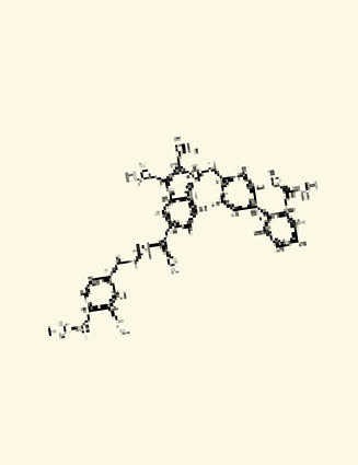 COc1ccc(CCNC(=O)c2ccc3c(c2)c(C)c(C)n3Cc2ccc(-c3ccccc3C(=O)O)cc2)cc1Cl